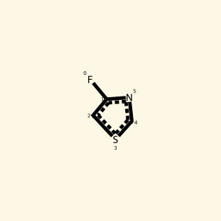 Fc1[c]s[c]n1